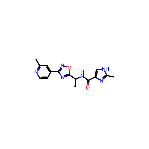 Cc1cc(-c2noc([C@H](C)NC(=O)c3c[nH]c(C)n3)n2)ccn1